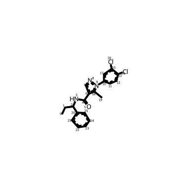 CCC(NC(=O)c1cnn(-c2ccc(Cl)c(Cl)c2)c1C)c1ccccc1